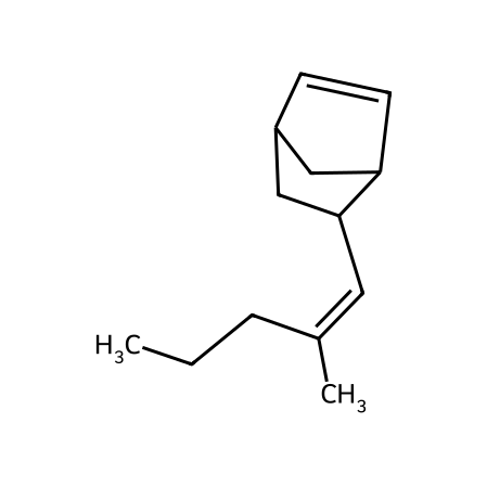 CCCC(C)=CC1CC2C=CC1C2